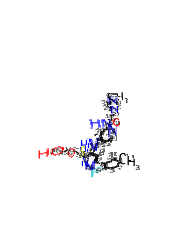 Cc1ccc(F)c(-c2cc(Nc3ccnc(NC(=O)CCN4CCN(C)CC4)c3)c(SCCOCCO)nn2)c1